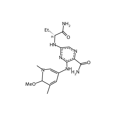 CC[C@@H](Nc1cnc(C(N)=O)c(NC2=CN(C)C(OC)C(C)=C2)n1)C(N)=O